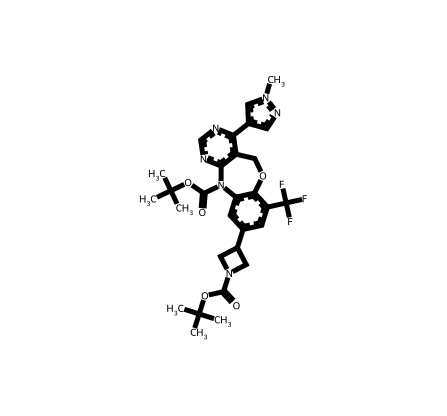 Cn1cc(-c2ncnc3c2COc2c(cc(C4CN(C(=O)OC(C)(C)C)C4)cc2C(F)(F)F)N3C(=O)OC(C)(C)C)cn1